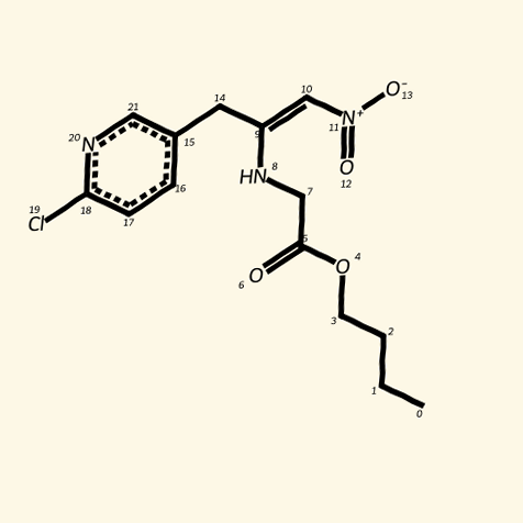 CCCCOC(=O)CN/C(=C\[N+](=O)[O-])Cc1ccc(Cl)nc1